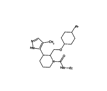 CCNC(=O)N1CCCC(c2[nH]ncc2C)C1COC1CCC(C(C)C)CC1